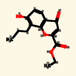 CCCc1c(O)ccc2c(=O)cc(C(=O)OCC)oc12